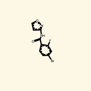 O=C(Nc1ccon1)c1ccc(Br)cc1F